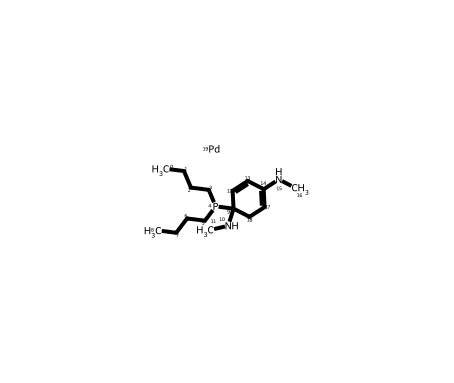 CCCCP(CCCC)C1(NC)C=CC(NC)=CC1.[Pd]